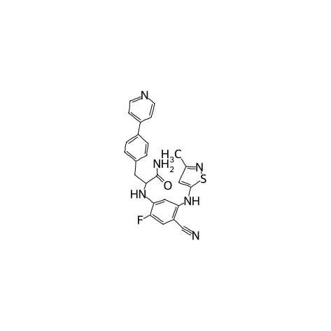 Cc1cc(Nc2cc(NC(Cc3ccc(-c4ccncc4)cc3)C(N)=O)c(F)cc2C#N)sn1